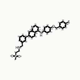 CS(=O)(=O)CCNCc1cccc(-c2ccc3c(Nc4ccc(OCc5ccc(F)cc5)cc4)ccnc3c2)c1